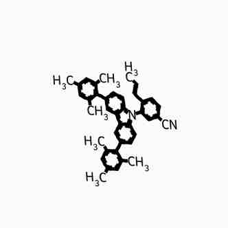 C/C=C/c1ccc(C#N)cc1-n1c2ccc(-c3c(C)cc(C)cc3C)cc2c2cc(-c3c(C)cc(C)cc3C)ccc21